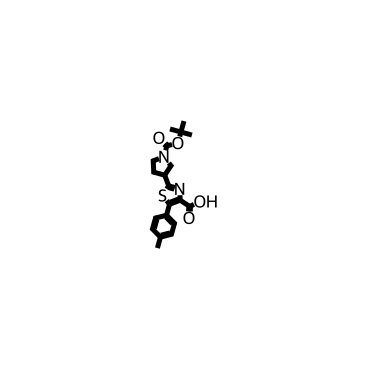 Cc1ccc(-c2sc(C3CCN(C(=O)OC(C)(C)C)C3)nc2C(=O)O)cc1